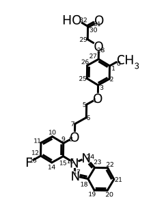 Cc1cc(OCCCOc2ccc(F)cc2-n2nc3ccccc3n2)ccc1OCC(=O)O